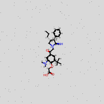 CCC[C@H]1CN(CC(=O)c2cc(N(C)C)c(OCC(=O)O)c(C(C)(C)C)c2)C(=N)[C@@H]1c1ccccc1